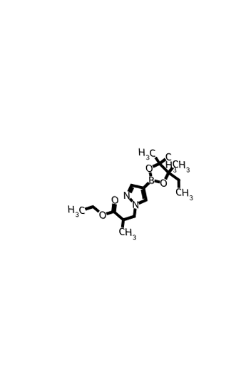 CCOC(=O)C(C)Cn1cc(B2OC(C)(C)C(C)(CC)O2)cn1